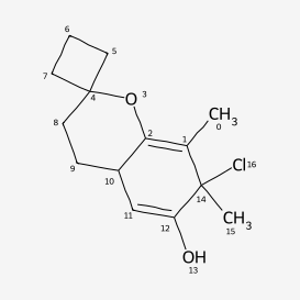 CC1=C2OC3(CCC3)CCC2C=C(O)C1(C)Cl